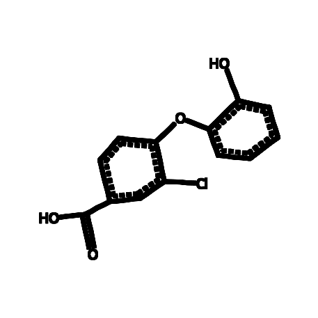 O=C(O)c1ccc(Oc2ccccc2O)c(Cl)c1